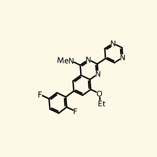 CCOc1cc(-c2cc(F)ccc2F)cc2c(NC)nc(-c3cncnc3)nc12